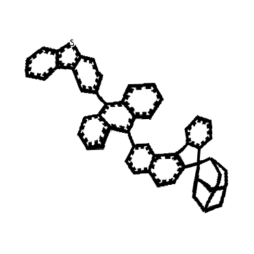 c1ccc2c(c1)-c1c(ccc3ccc(-c4c5ccccc5c(-c5ccc6sc7ccccc7c6c5)c5ccccc45)cc13)C21C2CC3CC(C2)CC1C3